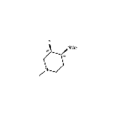 CN[C@H]1CCN(C)C[C@H]1F